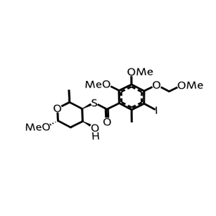 COCOc1c(I)c(C)c(C(=O)S[C@@H]2C(C)O[C@@H](OC)C[C@@H]2O)c(OC)c1OC